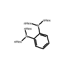 CCCCCCN(CCCCCC)c1ccccc1N(CCCCCC)CCCCCC